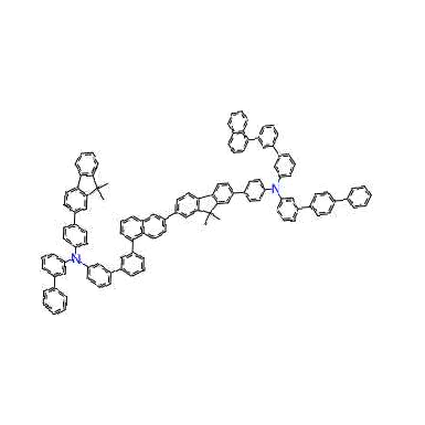 CC1(C)c2ccccc2-c2ccc(-c3ccc(N(c4cccc(-c5ccccc5)c4)c4cccc(-c5cccc(-c6cccc7cc(-c8ccc9c(c8)C(C)(C)c8cc(-c%10ccc(N(c%11cccc(-c%12ccc(-c%13ccccc%13)cc%12)c%11)c%11cccc(-c%12cccc(-c%13cccc%14ccccc%13%14)c%12)c%11)cc%10)ccc8-9)ccc67)c5)c4)cc3)cc21